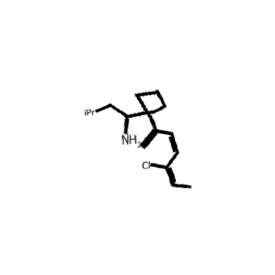 C=C(/C=C\C(Cl)=C/C)C1(C(N)CC(C)C)CCC1